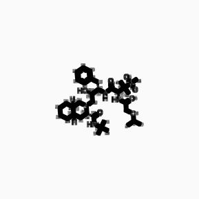 CC(C)OCC(=O)N[C@H](C(=O)N[C@@H](Cc1ccccc1)[C@H](O)CN1C[C@H]2CCCC[C@H]2C[C@H]1C(=O)NC(C)(C)C)C(C)(C)S(C)(=O)=O